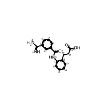 N=C(N)c1cccc(C(=O)Nc2ccccc2CCC(=O)O)c1